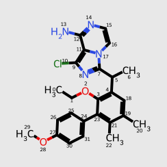 CCOc1c(C(C)c2nc(Cl)c3c(N)nccn23)cc(C)c(C)c1-c1ccc(OC)cc1